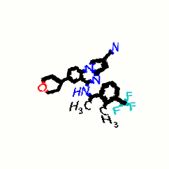 Cc1c(C(C)Nc2nc3cc(C#N)cn3c3ccc(C4=CCOCC4)cc23)cccc1C(F)(F)F